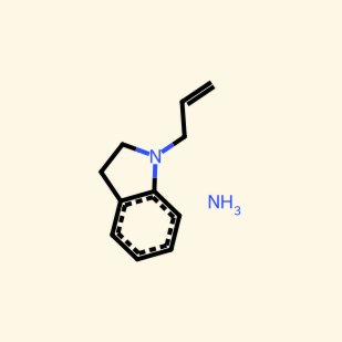 C=CCN1CCc2ccccc21.N